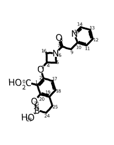 O=C(O)c1c(OC2CN(C(=O)Cc3ccccn3)C2)ccc2c1OB(O)CC2